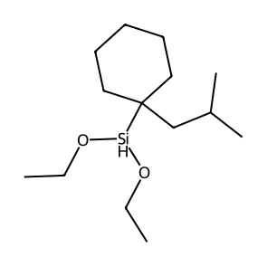 CCO[SiH](OCC)C1(CC(C)C)CCCCC1